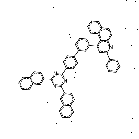 c1ccc(-c2cc(-c3cccc(-c4ccc(-c5nc(-c6ccc7ccccc7c6)nc(-c6ccc7ccccc7c6)n5)cc4)c3)c3c(ccc4ccccc43)n2)cc1